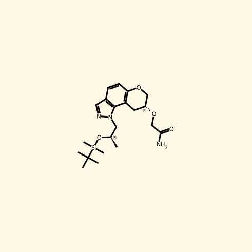 C[C@H](Cn1ncc2ccc3c(c21)C[C@@H](OCC(N)=O)CO3)O[Si](C)(C)C(C)(C)C